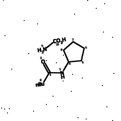 CCCCC(=O)NC1CCCC1.NC(=O)O